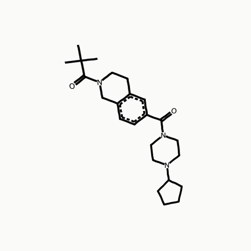 CC(C)(C)C(=O)N1CCc2cc(C(=O)N3CCN(C4CCCC4)CC3)ccc2C1